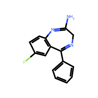 NC1=Nc2ccc(F)cc2C(c2ccccc2)=NC1